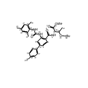 COC(=O)[C@@H](NC(=O)c1ccc(-c2ccc(F)cc2)cc1NC(=O)Nc1c(C)cc(C)cc1C)C(C)OC(C)(C)C